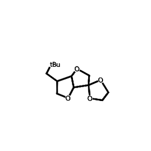 CC(C)(C)CC1COC2C1OCC21OCCO1